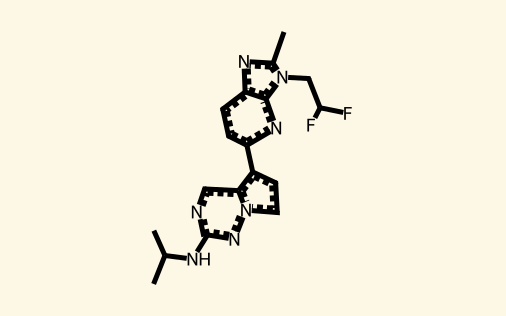 Cc1nc2ccc(-c3ccn4nc(NC(C)C)ncc34)nc2n1CC(F)F